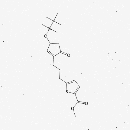 COC(=O)c1ccc(CCCC2=CC(O[Si](C)(C)C(C)(C)C)CC2=O)s1